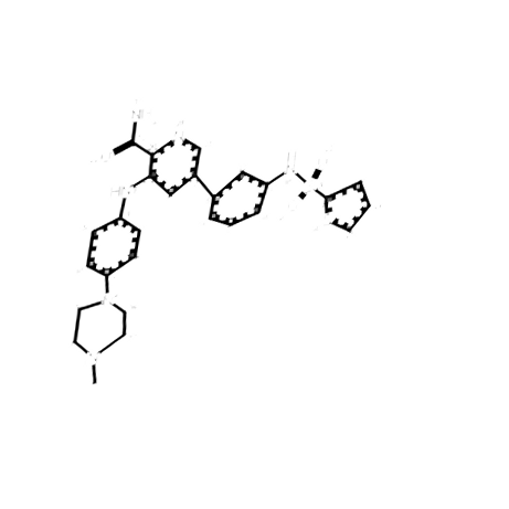 CN1CCN(c2ccc(Nc3cc(-c4cccc(NS(=O)(=O)c5cccs5)c4)cnc3C(N)=O)cc2)CC1